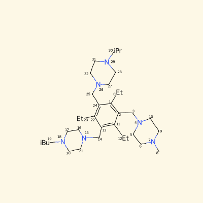 CCc1c(CN2CCN(C)CC2)c(CC)c(CN2CCN(C(C)CC)CC2)c(CC)c1CN1CCN(C(C)C)CC1